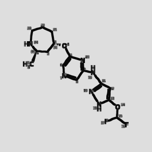 C[C@@H]1C[C@@H](Oc2cncc(Nc3cc(OC(F)F)[nH]n3)n2)CCCN1